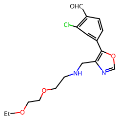 CCOCCOCCNCc1ncoc1-c1ccc(C=O)c(Cl)c1